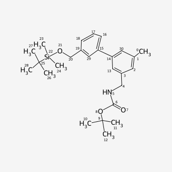 Cc1cc(CNC(=O)OC(C)(C)C)cc(-c2cccc(CO[Si](C)(C)C(C)(C)C)c2)c1